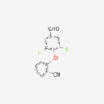 N#Cc1ccccc1Oc1c(F)cc(C=O)cc1F